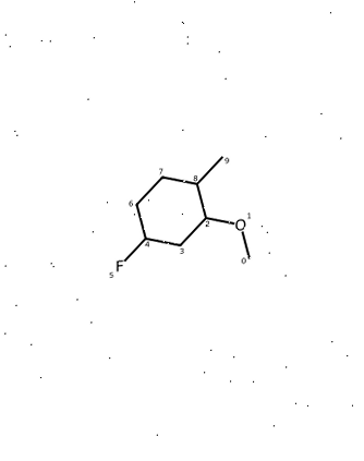 COC1CC(F)CCC1C